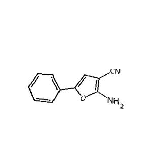 N#Cc1cc(-c2ccccc2)oc1N